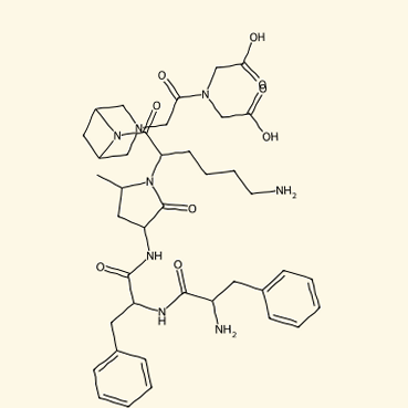 CC1CC(NC(=O)C(Cc2ccccc2)NC(=O)C(N)Cc2ccccc2)C(=O)N1C(CCCCN)C(=O)N1C2CC1CN(CC(=O)N(CC(=O)O)CC(=O)O)C2